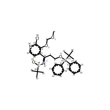 COCOc1c(/C(CCO[Si](c2ccccc2)(c2ccccc2)C(C)(C)C)=N\[S+]([O-])C(C)(C)C)ccnc1Cl